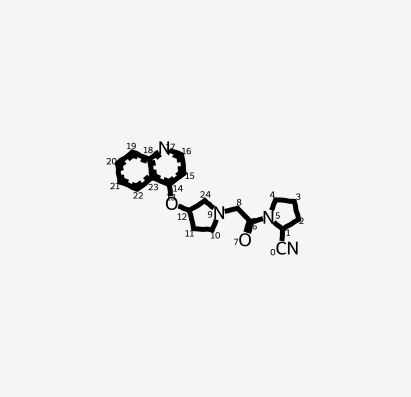 N#CC1CCCN1C(=O)CN1CCC(Oc2ccnc3ccccc23)C1